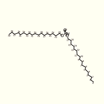 CCCCCCCCCCCCCCCCCCO[PH](=O)OCCCCCCCCCCCCCCCCCC